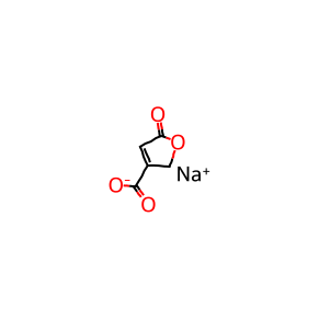 O=C1C=C(C(=O)[O-])CO1.[Na+]